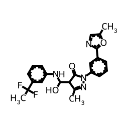 CC1=NN(c2cccc(-c3ncc(C)o3)c2)C(=O)C1C(O)Nc1cccc(C(C)(F)F)c1